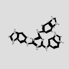 c1cc2c(cc1Oc1nc(Oc3ccc4c(c3)OCO4)nc(Oc3ccc4c(c3)OCO4)n1)OCO2